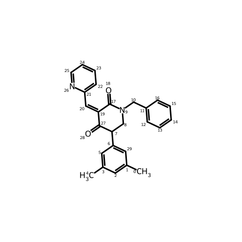 Cc1cc(C)cc(C2CN(Cc3ccccc3)C(=O)/C(=C\c3ccccn3)C2=O)c1